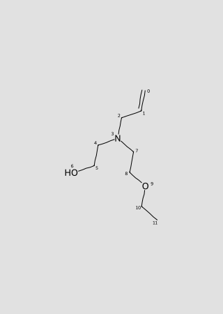 C=CCN(CCO)CCOCC